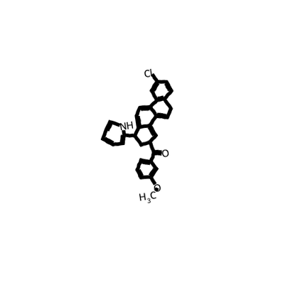 COc1cccc(C(=O)C2C=c3c(ccc4c3=CCc3ccc(Cl)cc3-4)C(C3=CC=CC=CN3)C2)c1